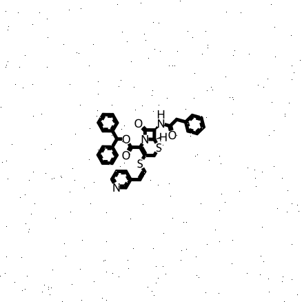 O=C(Cc1ccccc1)N[C@@H]1C(=O)N2C(C(=O)OC(c3ccccc3)c3ccccc3)=C(S/C=C\c3cccnc3)CS[C@H]12